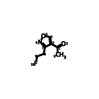 CC(=O)c1conc1CCF